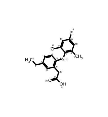 CCc1ccc(Nc2c(C)cc(F)cc2Cl)c(CC(=O)O)c1